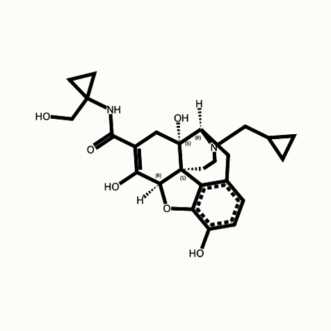 O=C(NC1(CO)CC1)C1=C(O)[C@@H]2Oc3c(O)ccc4c3[C@@]23CCN(CC2CC2)[C@H](C4)[C@]3(O)C1